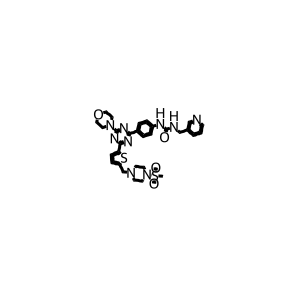 CS(=O)(=O)N1CCN(Cc2ccc(-c3nc(-c4ccc(NC(=O)NCc5cccnc5)cc4)nc(N4CCOCC4)n3)s2)CC1